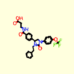 O=C(O)CCNC(=O)c1ccc(C2CN(c3ccc(OC(F)(F)F)cc3)C(=O)N2CCc2ccccc2)cc1